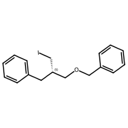 IC[C@H](COCc1ccccc1)Cc1ccccc1